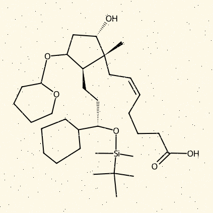 CC(C)(C)[Si](C)(C)O[C@@H](CC[C@H]1C(OC2CCCCO2)C[C@H](O)[C@]1(C)C/C=C\CCCC(=O)O)C1CCCCC1